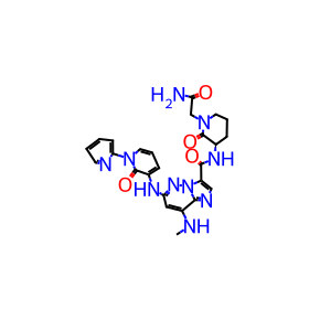 CNc1cc(Nc2cccn(-c3ccccn3)c2=O)nn2c(C(=O)N[C@@H]3CCCN(CC(N)=O)C3=O)cnc12